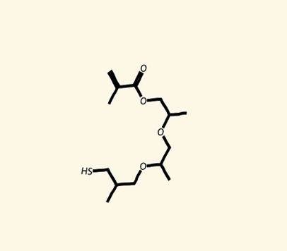 C=C(C)C(=O)OCC(C)OCC(C)OCC(C)CS